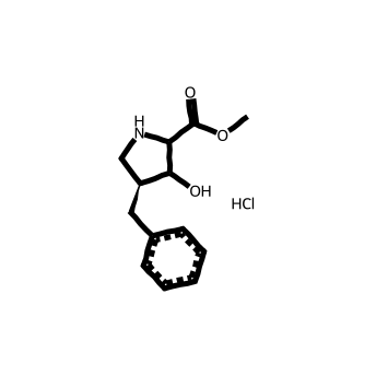 COC(=O)C1NC[C@H](Cc2ccccc2)C1O.Cl